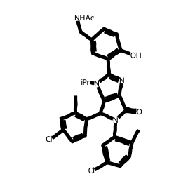 CC(=O)NCc1ccc(O)c(-c2nc3c(n2C(C)C)C(c2ccc(Cl)cc2C)N(c2cc(Cl)ccc2C)C3=O)c1